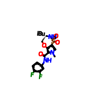 CC[C@H](C)[C@H]1COc2c(cn(C)c2C(=O)Nc2ccc(F)c(F)c2)S(=O)(=O)N1